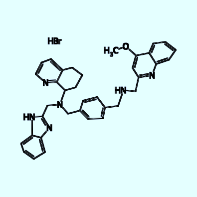 Br.COc1cc(CNCc2ccc(CN(Cc3nc4ccccc4[nH]3)C3CCCc4cccnc43)cc2)nc2ccccc12